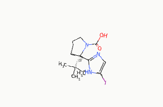 CC(C)(C)[C@]1(c2ncc(I)[nH]2)CCCN1C(=O)O